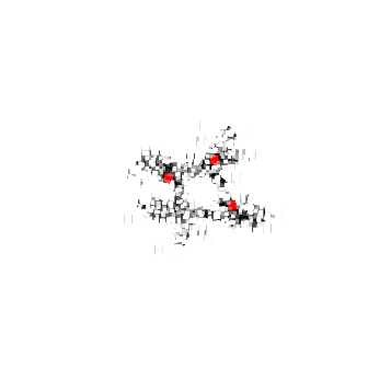 C=C[Si](C)(C)O[Si](C)(C)O[Si](C)(C)O[Si]1(O[Si](C)(C)O[Si](C)(C)C=C)O[Si](C)(C)O[Si](O[Si](C)(C)O[Si](C)(C)C=C)(O[Si](C)(C)O[Si](C)(C)O[Si](C)(C)C=C)O[Si](C)(C)O[Si](O[Si](C)(C)O[Si](C)(C)C=C)(O[Si](C)(C)O[Si](C)(C)O[Si](C)(C)C=C)O[Si](C)(C)O[Si](O[Si](C)(C)O[Si](C)(C)C=C)(O[Si](C)(C)O[Si](C)(C)O[Si](C)(C)C=C)O[Si](C)(C)O1